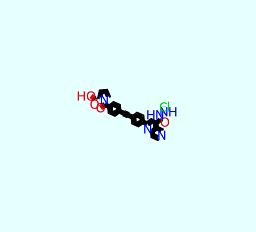 O=C(NNCl)c1cc(-c2ccc(C#Cc3ccc(C(=O)N4CCC[C@H]4C(=O)O)cc3)cc2)nc2ccncc12